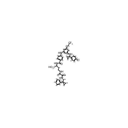 O=C(NCC[C@H](NC(=O)c1ccc(Nc2nc(NC3(c4ccc(Cl)cc4)CC3)nc(OCC(F)(F)F)n2)cc1)C(=O)O)C(=O)NCC1(c2ccccc2)CC1